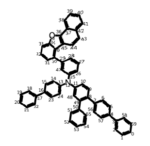 c1ccc(-c2ccc(-c3ccc(N(c4ccc(-c5ccccc5)cc4)c4cccc(-c5cccc6oc7c8ccccc8ccc7c56)c4)cc3-c3ccccc3)cc2)cc1